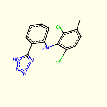 Cc1ccc(Cl)c(Nc2ccccc2-c2nnn[nH]2)c1Cl